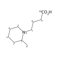 CC1CCCCN1CCCC(=O)O